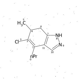 CCCC1=C(Cl)C(C)Cc2[nH]ncc21